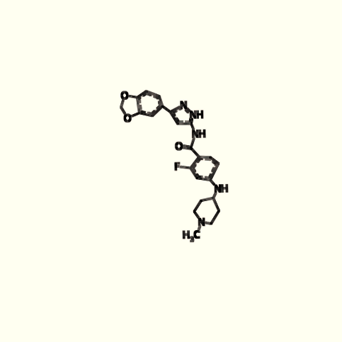 CN1CCC(Nc2ccc(C(=O)Nc3cc(-c4ccc5c(c4)OCO5)n[nH]3)c(F)c2)CC1